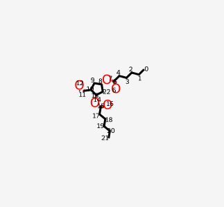 CCCCCC(=O)OC1CC([C]=O)C(OC(=O)CCCCC)C1